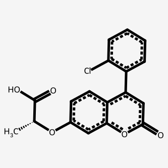 C[C@@H](Oc1ccc2c(-c3ccccc3Cl)cc(=O)oc2c1)C(=O)O